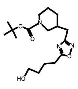 CC(C)(C)OC(=O)N1CCCC(Cc2noc(CCCCO)n2)C1